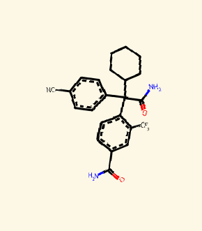 N#Cc1ccc(C(C(N)=O)(c2ccc(C(N)=O)cc2C(F)(F)F)C2CCCCC2)cc1